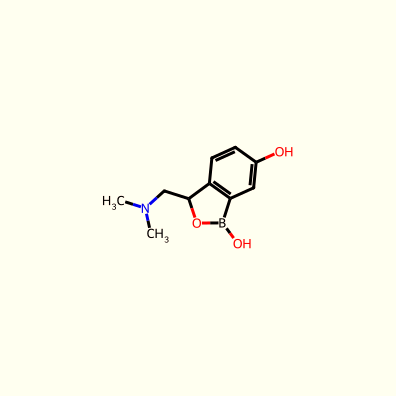 CN(C)CC1OB(O)c2cc(O)ccc21